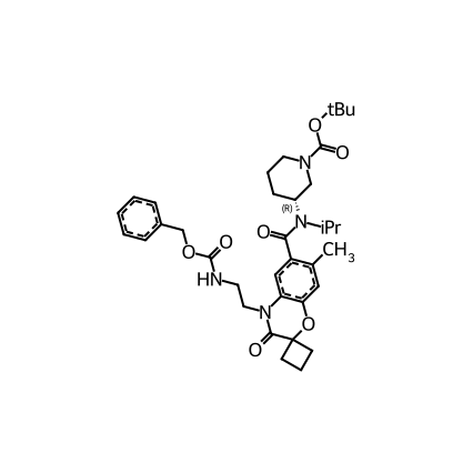 Cc1cc2c(cc1C(=O)N(C(C)C)[C@@H]1CCCN(C(=O)OC(C)(C)C)C1)N(CCNC(=O)OCc1ccccc1)C(=O)C1(CCC1)O2